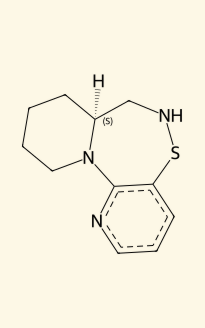 c1cnc2c(c1)SNC[C@@H]1CCCCN21